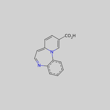 O=C(O)C1=CN2C(=CC=Nc3ccccc32)C=C1